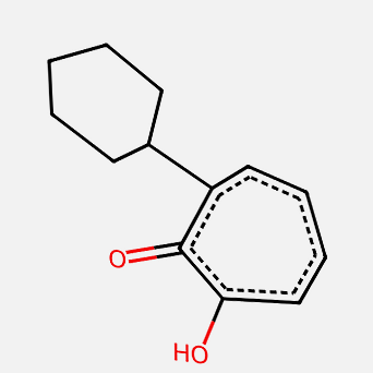 O=c1c(O)ccccc1C1CCCCC1